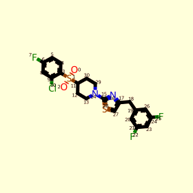 O=S(=O)(c1ccc(F)cc1Cl)C1CCN(c2nc(Cc3cc(F)cc(F)c3)cs2)CC1